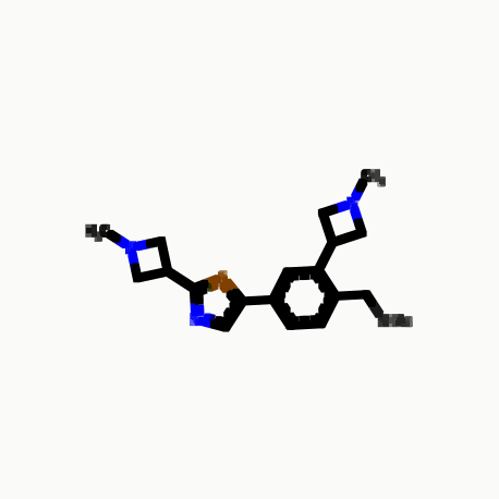 CC(=O)NCc1ccc(-c2cnc(C3CN(C)C3)s2)cc1C1CN(C)C1